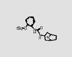 CN1C2CCC1CC(NC(=O)Nc1ccccc1OC(C)(C)C)C2